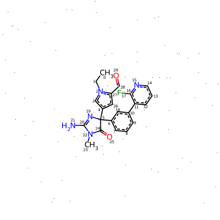 CCn1cc(C2(c3cccc(-c4cccnc4F)c3)N=C(N)N(C)C2=O)cc1C=O